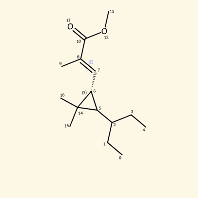 CCC(CC)C1[C@@H](/C=C(\C)C(=O)OC)C1(C)C